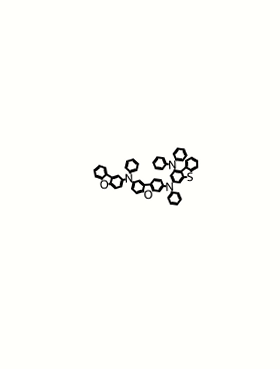 c1ccc(N(c2ccc3c(c2)oc2ccc(N(c4ccccc4)c4ccc5oc6ccccc6c5c4)cc23)c2cc(N(c3ccccc3)c3ccccc3)c3c(c2)sc2ccccc23)cc1